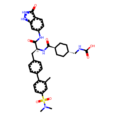 Cc1cc(S(=O)(=O)N(C)C)ccc1-c1ccc(C[C@H](NC(=O)[C@H]2CC[C@H](CNC(=O)O)CC2)C(=O)Nc2ccc3c(=O)[nH][nH]c3c2)cc1